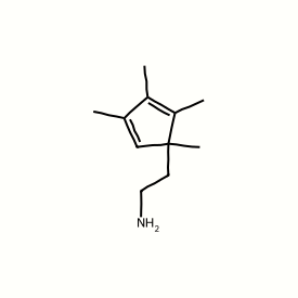 CC1=CC(C)(CCN)C(C)=C1C